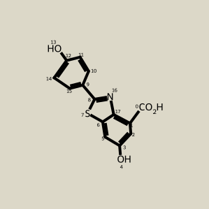 O=C(O)c1cc(O)cc2sc(-c3ccc(O)cc3)nc12